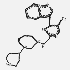 Clc1cnc(N[C@@H]2CCC[C@H](N3CCNCC3)C2)nc1-c1cnn2ccccc12